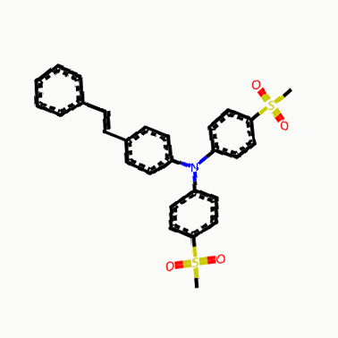 CS(=O)(=O)c1ccc(N(c2ccc(C=Cc3ccccc3)cc2)c2ccc(S(C)(=O)=O)cc2)cc1